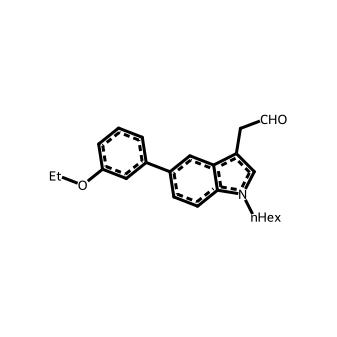 CCCCCCn1cc(CC=O)c2cc(-c3cccc(OCC)c3)ccc21